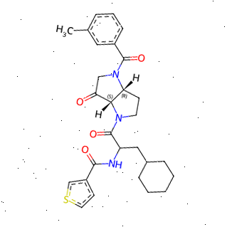 Cc1cccc(C(=O)N2CC(=O)[C@@H]3[C@H]2CCN3C(=O)C(CC2CCCCC2)NC(=O)c2ccsc2)c1